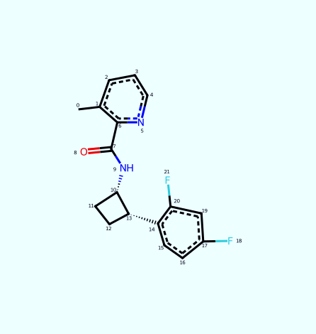 Cc1cccnc1C(=O)N[C@H]1CC[C@H]1c1ccc(F)cc1F